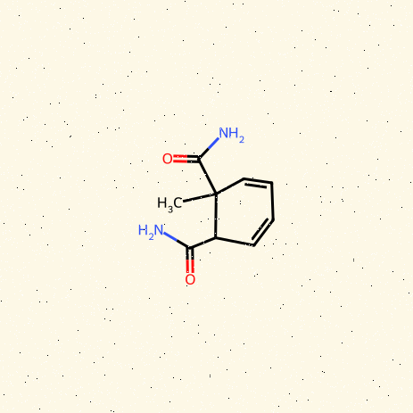 CC1(C(N)=O)C=CC=CC1C(N)=O